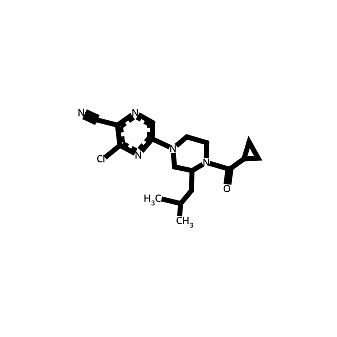 CC(C)CC1CN(c2cnc(C#N)c(Cl)n2)CCN1C(=O)C1CC1